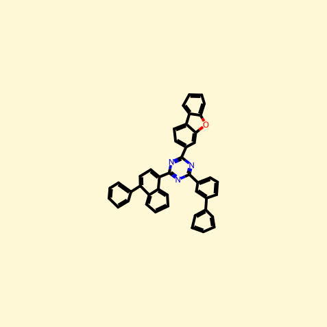 c1ccc(-c2cccc(-c3nc(-c4ccc5c(c4)oc4ccccc45)nc(-c4ccc(-c5ccccc5)c5ccccc45)n3)c2)cc1